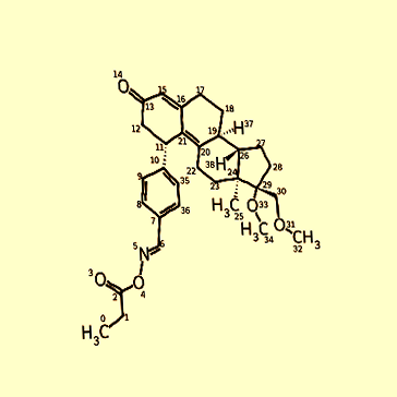 CCC(=O)ON=Cc1ccc([C@@H]2CC(=O)C=C3CC[C@@H]4C(=C32)CC[C@@]2(C)[C@H]4CC[C@]2(COC)OC)cc1